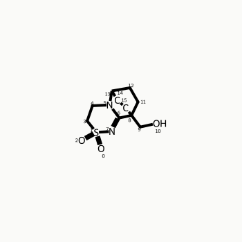 O=S1(=O)CCN2C(=N1)C1(CO)CCC2CC1